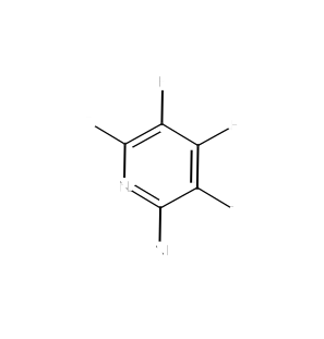 Nc1nc(F)c(F)c(F)c1I